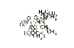 CCSCCNc1nc(C(C)(C)C)ncc1C(=O)N(CC(C)C)[C@H]1C[C@@H](C(=O)N2CCOCC2)CN(C(=O)OC(C)(C)C)C1